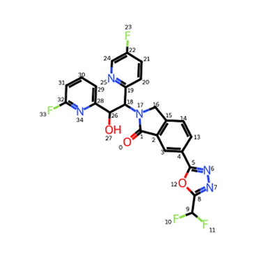 O=C1c2cc(-c3nnc(C(F)F)o3)ccc2CN1C(c1ccc(F)cn1)C(O)c1cccc(F)n1